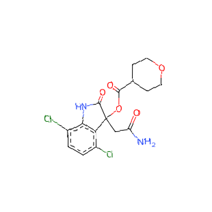 NC(=O)CC1(OC(=O)C2CCOCC2)C(=O)Nc2c(Cl)ccc(Cl)c21